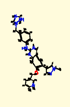 Cn1cc(-c2cc3cnc(Nc4cccc(CN5C=NCN5)c4)nc3cc2OCc2cccnc2)cn1